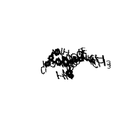 CN(C)CCCNc1ccc(S(=O)(=O)NC(=O)c2ccc(N3CCC(C(O)c4cc(CN5CCNCC5)ccc4-c4ccc(Cl)cc4)CC3)cc2Oc2cnc3[nH]ccc3c2)cc1S(=O)(=O)C(F)(F)F